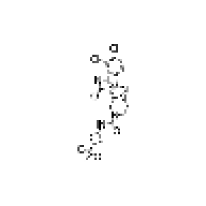 CS(=O)(=O)[C@H]1C[C@@H](NC(=O)N2CCn3nc(-c4ccc(Cl)c(Cl)c4)c(C(N)=O)c3C2)C1